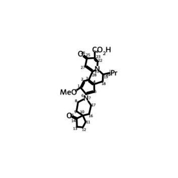 COc1cc2c(cc1N1CCC3(CCCC3=O)CC1)CC(C(C)C)n1cc(C(=O)O)c(=O)cc1-2